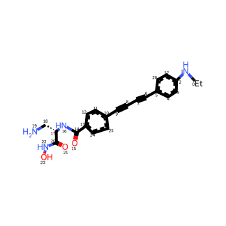 CCNc1ccc(C#CC#Cc2ccc(C(=O)N[C@@H](CN)C(=O)NO)cc2)cc1